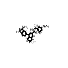 COc1cccc([C@@H](C)NC(C)c2cc(-c3ccc4[nH]nc(N)c4c3)c3ccccc3c2)c1.Cl